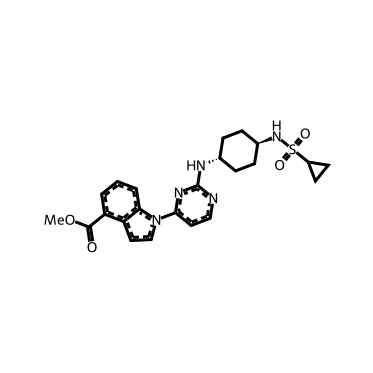 COC(=O)c1cccc2c1ccn2-c1ccnc(N[C@H]2CC[C@H](NS(=O)(=O)C3CC3)CC2)n1